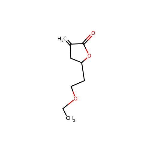 C=C1CC(CCOCC)OC1=O